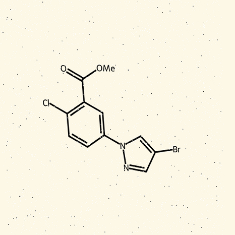 COC(=O)c1cc(-n2cc(Br)cn2)ccc1Cl